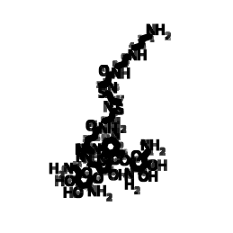 NCCCCNCCCNC(=O)c1csc(-c2csc(CCNC(=O)CCc3cn(CC4OC(OC5(COC6OC(CN)C(O)C(O)C6N)CC(N)CC(N)C5O)C(O)C4OC4OC(CN)C(O)C(O)C4N)nn3)n2)n1